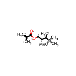 C=C(C)C(=O)OCCC(C)[Si](C)(C)OC